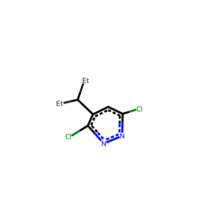 CCC(CC)c1cc(Cl)nnc1Cl